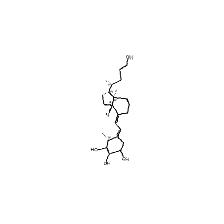 C[C@@H]1C(=CC=C2CCC[C@]3(C)[C@@H]([C@H](C)CCCO)CC[C@@H]23)CC(O)C(O)C1O